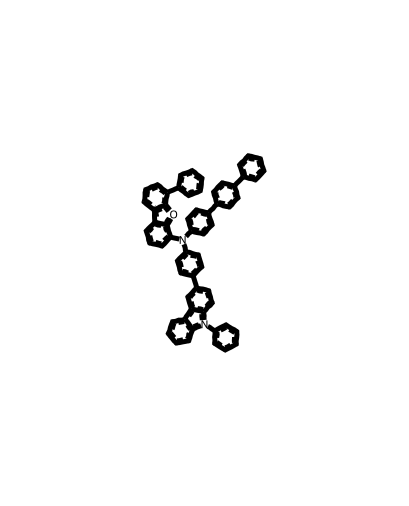 c1ccc(-c2ccc(-c3ccc(N(c4ccc(-c5ccc6c(c5)c5ccccc5n6-c5ccccc5)cc4)c4cccc5c4oc4c(-c6ccccc6)cccc45)cc3)cc2)cc1